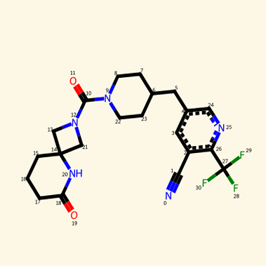 N#Cc1cc(CC2CCN(C(=O)N3CC4(CCCC(=O)N4)C3)CC2)cnc1C(F)(F)F